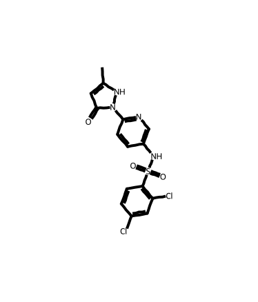 Cc1cc(=O)n(-c2ccc(NS(=O)(=O)c3ccc(Cl)cc3Cl)cn2)[nH]1